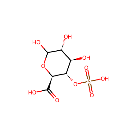 O=C(O)[C@H]1OC(O)[C@H](O)[C@@H](O)[C@@H]1OS(=O)(=O)O